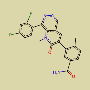 Cc1ccc(C(N)=O)cc1-c1cc2cnnc(-c3ccc(F)cc3F)c2n(C)c1=O